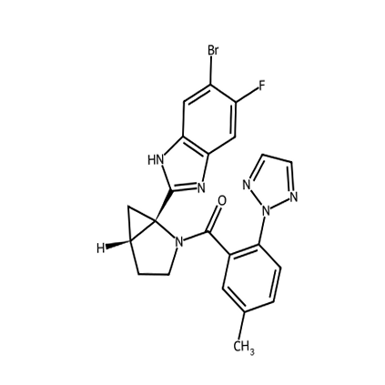 Cc1ccc(-n2nccn2)c(C(=O)N2CC[C@@H]3C[C@@]32c2nc3cc(F)c(Br)cc3[nH]2)c1